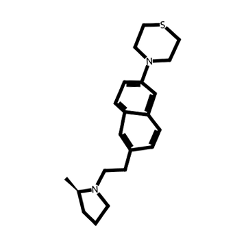 C[C@@H]1CCCN1CCc1ccc2cc(N3CCSCC3)ccc2c1